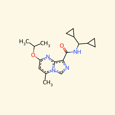 Cc1cc(OC(C)C)nc2c(C(=O)NC(C3CC3)C3CC3)ncn12